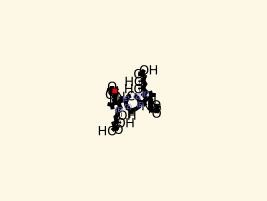 CC(C)c1nc(N(C)S(C)(=O)=O)nc(C2=C/C/C=C\C(c3nc(N(C)S(C)(=O)=O)nc(C(C)C)c3/C=C/[C@@H](O)C[C@@H](O)CC(=O)O)=C/CC(F)/C=C\2)c1/C=C/[C@@H](O)C[C@@H](O)CC(=O)O